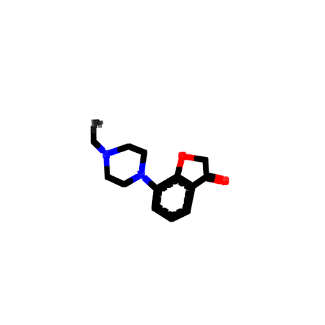 CC(C)CN1CCN(c2cccc3c2OCC3=O)CC1